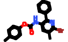 Cc1ccc(OC(=O)Nc2cc(C)c(Br)nc2-c2ccccc2)cc1